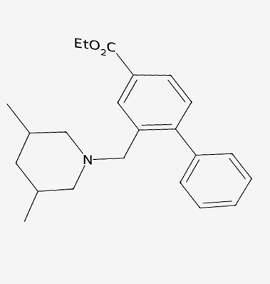 CCOC(=O)c1ccc(-c2ccccc2)c(CN2CC(C)CC(C)C2)c1